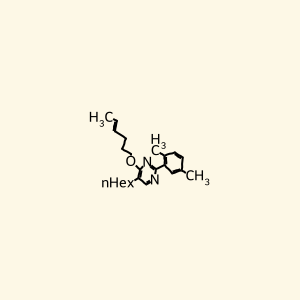 CC=CCCCOc1nc(-c2cc(C)ccc2C)ncc1CCCCCC